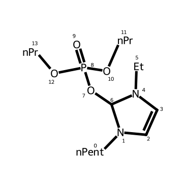 CCCCCN1C=CN(CC)C1OP(=O)(OCCC)OCCC